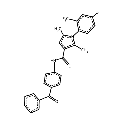 Cc1cc(C(=O)Nc2ccc(C(=O)c3ccccc3)cc2)c(C)n1-c1ccc(F)cc1C(F)(F)F